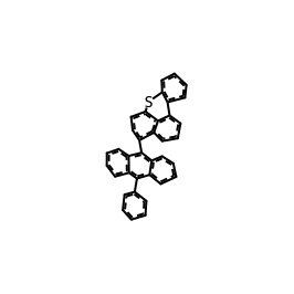 c1ccc(-c2c3ccccc3c(-c3ccc4c5c(cccc35)-c3ccccc3S4)c3ccccc23)cc1